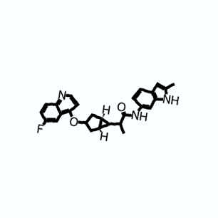 Cc1cc2ccc(NC(=O)C(C)C3[C@H]4CC(Oc5ccnc6ccc(F)cc56)C[C@@H]34)cc2[nH]1